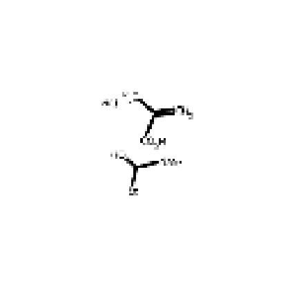 C=C(C)C(=O)O.CCC(O)NC.Cl